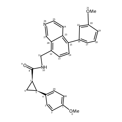 COc1ccc([C@H]2C[C@H]2C(=O)NCc2ccc(-c3cccc(OC)c3)c3ccncc23)cc1